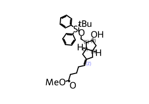 COC(=O)CCC/C=C1/C[C@H]2C[C@@H](O)[C@H](CO[Si](c3ccccc3)(c3ccccc3)C(C)(C)C)[C@H]2C1